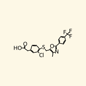 Cc1nc(-c2ccc(C(F)(F)F)cc2)oc1CSc1ccc(CC(=O)O)cc1Cl